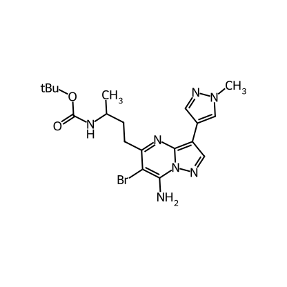 CC(CCc1nc2c(-c3cnn(C)c3)cnn2c(N)c1Br)NC(=O)OC(C)(C)C